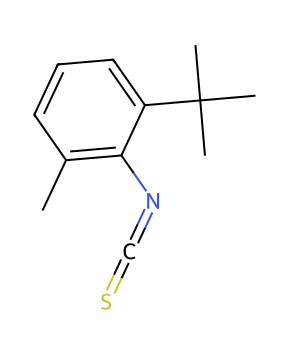 Cc1cccc(C(C)(C)C)c1N=C=S